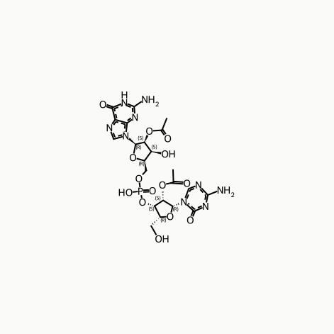 CC(=O)O[C@H]1[C@@H](OP(=O)(O)OC[C@H]2O[C@@H](n3cnc4c(=O)[nH]c(N)nc43)[C@@H](OC(C)=O)[C@H]2O)[C@@H](CO)O[C@H]1n1cnc(N)nc1=O